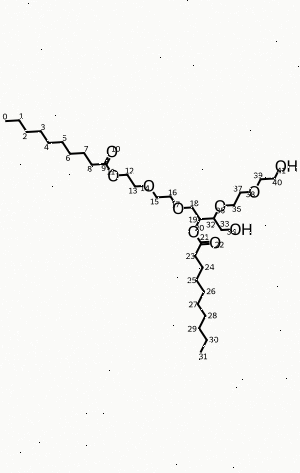 CCCCCCCCCC(=O)OCCOCCOCC(OC(=O)CCCCCCCCC)C(CO)OCCOCCO